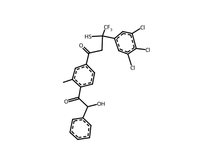 Cc1cc(C(=O)CC(S)(c2cc(Cl)c(Cl)c(Cl)c2)C(F)(F)F)ccc1C(=O)C(O)c1ccccc1